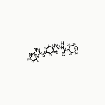 O=C(Nc1nc2ccc(Sc3cnc4ncccn34)cc2s1)C1CCOCC1